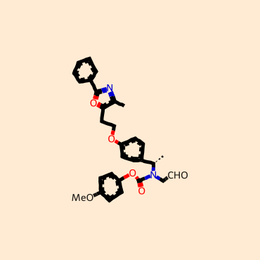 COc1ccc(OC(=O)N(CC=O)[C@@H](C)c2ccc(OCCc3oc(-c4ccccc4)nc3C)cc2)cc1